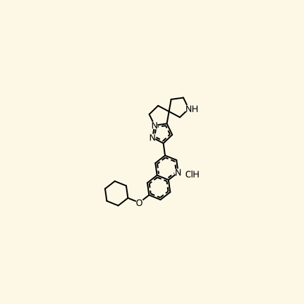 Cl.c1cc2ncc(-c3cc4n(n3)CCC43CCNC3)cc2cc1OC1CCCCC1